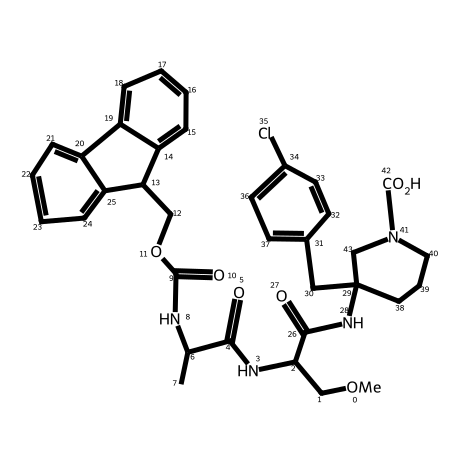 COCC(NC(=O)C(C)NC(=O)OCC1c2ccccc2-c2ccccc21)C(=O)NC1(Cc2ccc(Cl)cc2)CCCN(C(=O)O)C1